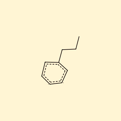 CCCc1c[c][c]cc1